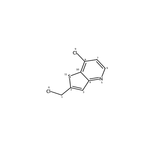 ClCc1cc2nccc(Cl)c2s1